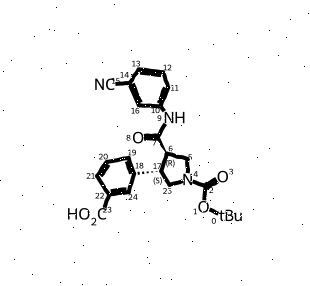 CC(C)(C)OC(=O)N1C[C@H](C(=O)Nc2cccc(C#N)c2)[C@@H](c2cccc(C(=O)O)c2)C1